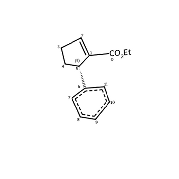 CCOC(=O)C1=CCC[C@H]1c1ccccc1